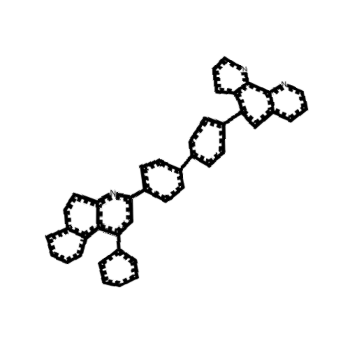 c1ccc(-c2cc(-c3ccc(-c4ccc(-c5cc6cccnc6c6ncccc56)cc4)cc3)nc3ccc4ccccc4c23)cc1